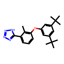 Cc1c(Oc2cc(C(C)(C)C)cc(C(C)(C)C)c2)cccc1-c1nnn[nH]1